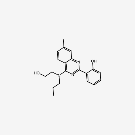 CCCN(CCO)c1nc(-c2ccccc2O)nc2cc(C)ccc12